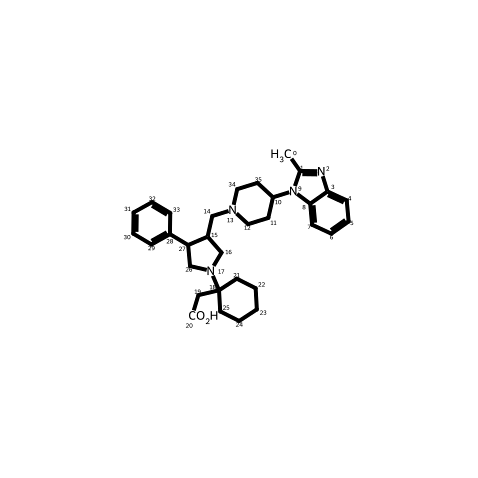 Cc1nc2ccccc2n1C1CCN(CC2CN(C3(CC(=O)O)CCCCC3)CC2c2ccccc2)CC1